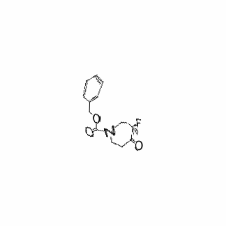 O=C1CCN(C(=O)OCc2ccccc2)C[C@H]1F